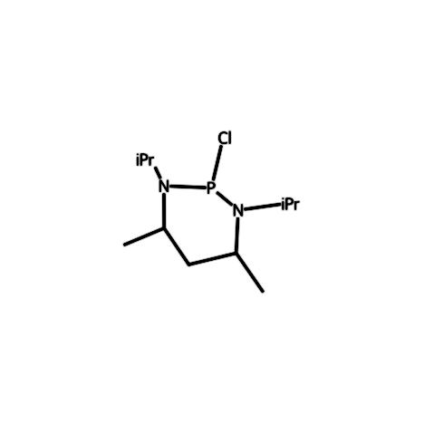 CC(C)N1C(C)CC(C)N(C(C)C)P1Cl